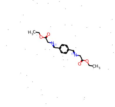 CCOC(=O)C/N=C/c1ccc(/C=N/CC(=O)OCC)cc1